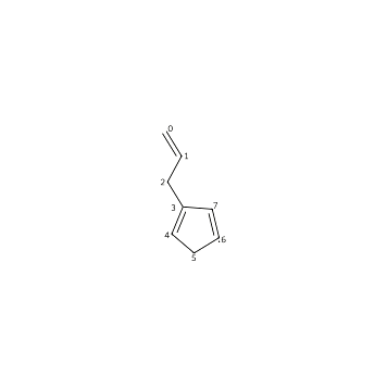 C=CCC1=CC[C]=C1